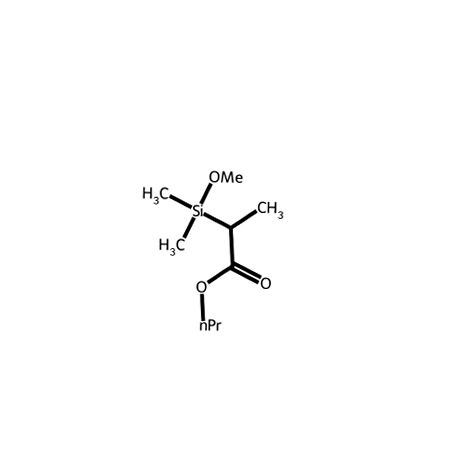 CCCOC(=O)C(C)[Si](C)(C)OC